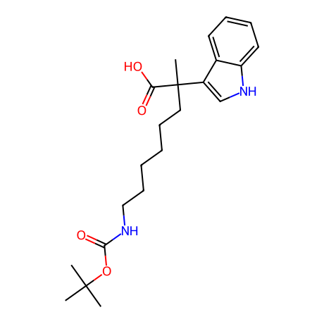 CC(C)(C)OC(=O)NCCCCCCC(C)(C(=O)O)c1c[nH]c2ccccc12